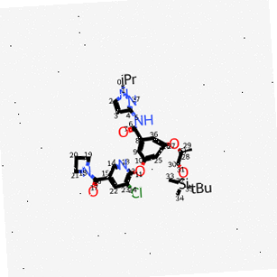 CC(C)n1ccc(NC(=O)c2cc(Oc3ncc(C(=O)N4CCC4)cc3Cl)cc(O[C@@H](C)CO[Si](C)(C)C(C)(C)C)c2)n1